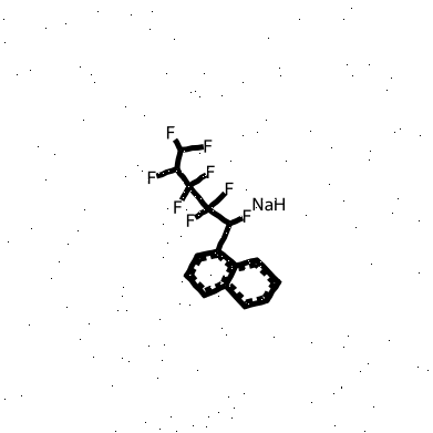 FC(F)C(F)C(F)(F)C(F)(F)C(F)c1cccc2ccccc12.[NaH]